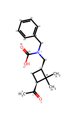 CC(=O)[C@H]1C[C@@H](CN(Cc2ccccc2)C(=O)O)C1(C)C